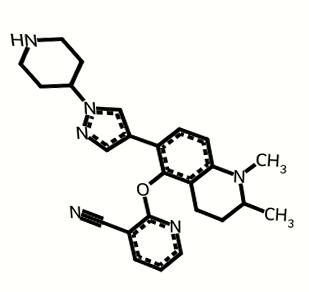 CC1CCc2c(ccc(-c3cnn(C4CCNCC4)c3)c2Oc2ncccc2C#N)N1C